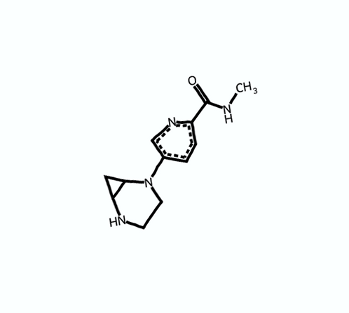 CNC(=O)c1ccc(N2CCNC3CC32)cn1